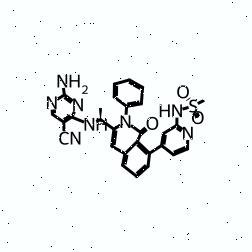 C[C@H](Nc1nc(N)ncc1C#N)c1cc2cccc(-c3ccnc(NS(C)(=O)=O)c3)c2c(=O)n1-c1ccccc1